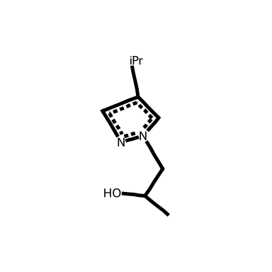 CC(O)Cn1cc(C(C)C)cn1